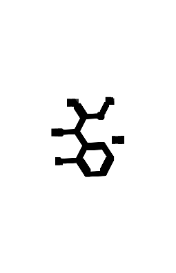 CCOC(=N)C(O)c1ccccc1Br.Cl